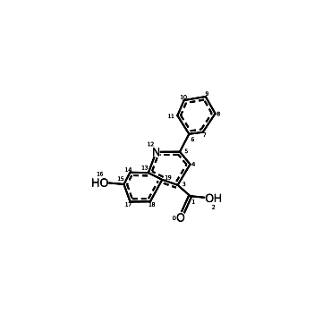 O=C(O)c1cc(-c2ccccc2)nc2cc(O)ccc12